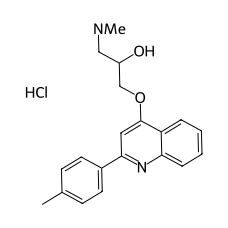 CNCC(O)COc1cc(-c2ccc(C)cc2)nc2ccccc12.Cl